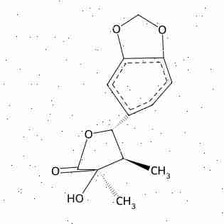 C[C@@H]1[C@@H](c2ccc3c(c2)OCO3)OC(=O)[C@]1(C)O